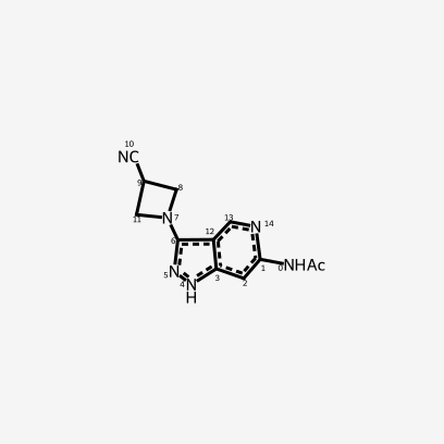 CC(=O)Nc1cc2[nH]nc(N3CC(C#N)C3)c2cn1